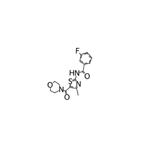 Cc1nc(NC(=O)c2cccc(F)c2)sc1C(=O)N1CCOCC1